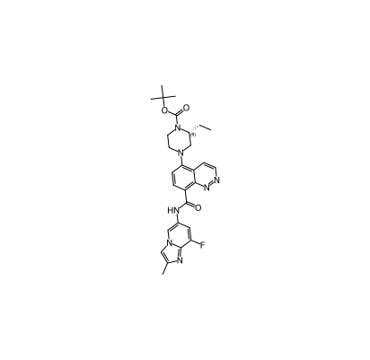 CC[C@@H]1CN(c2ccc(C(=O)Nc3cc(F)c4nc(C)cn4c3)c3nnccc23)CCN1C(=O)OC(C)(C)C